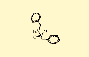 O=S(=O)(Cc1ccccc1)NCc1ccccc1